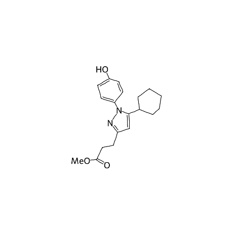 COC(=O)CCc1cc(C2CCCCC2)n(-c2ccc(O)cc2)n1